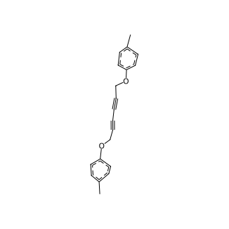 Cc1ccc(OCC#CC#CCOc2ccc(C)cc2)cc1